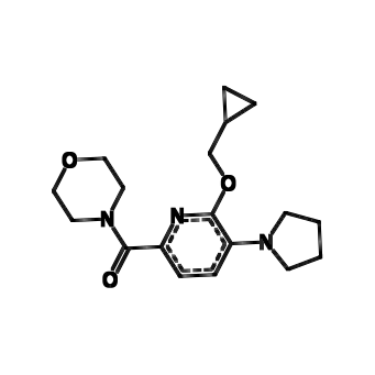 O=C(c1ccc(N2CCCC2)c(OCC2CC2)n1)N1CCOCC1